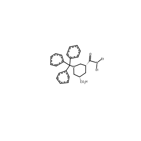 CCN(CC)C(=O)[C@@H]1C[C@H](C(=O)O)CN(C(c2ccccc2)(c2ccccc2)c2ccccc2)C1